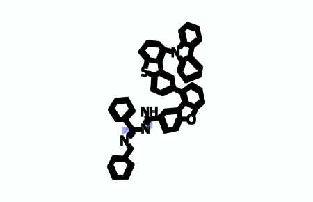 N/C(=N\C(=N/Cc1ccccc1)c1ccccc1)c1ccc2oc3cccc(-c4ccc5sc6cccc(-n7c8ccccc8c8ccccc87)c6c5c4)c3c2c1